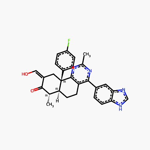 Cc1nc(-c2ccc3[nH]cnc3c2)c2c(n1)[C@@]1(c3ccc(F)cc3)CC(=CO)C(=O)[C@@H](C)[C@@H]1CC2